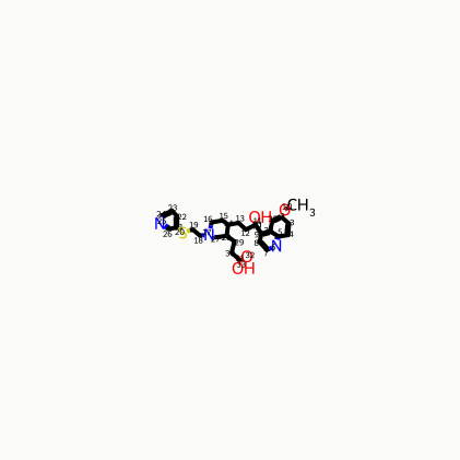 COc1ccc2nccc([C@@H](O)CCC3CCN(CCSc4cccnc4)CC3CCC(=O)O)c2c1